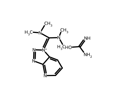 CN(C)C(N(C)C)=[N+]1N=Nc2ncccc21.N=C(N)O